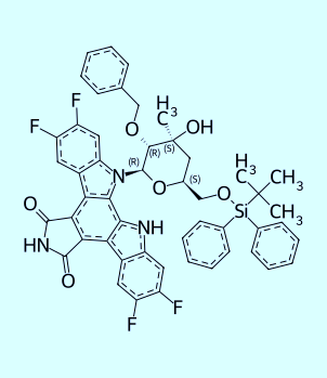 CC(C)(C)[Si](OC[C@@H]1C[C@](C)(O)[C@@H](OCc2ccccc2)[C@H](n2c3cc(F)c(F)cc3c3c4c(c5c6cc(F)c(F)cc6[nH]c5c32)C(=O)NC4=O)O1)(c1ccccc1)c1ccccc1